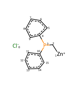 [Cl-].[Zn+][CH2]P(c1ccccc1)c1ccccc1